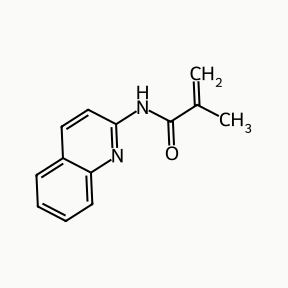 C=C(C)C(=O)Nc1ccc2ccccc2n1